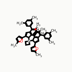 Cc1cc(C)cc(-c2c(C)c(C)cc3c2C=C(c2ccc(C)o2)C3[Si]2(C3C(c4ccc(C)o4)=Cc4c3cc(C)c(C)c4-c3cc(C)cc(C)c3)CCC2)c1